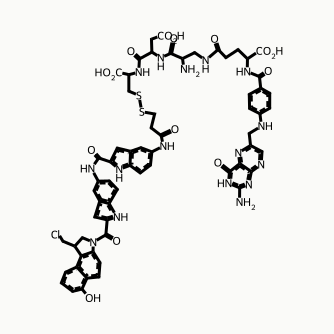 Nc1nc2ncc(CNc3ccc(C(=O)NC(CCC(=O)NCC(N)C(=O)NC(CC(=O)O)C(=O)NC(CSSCCC(=O)Nc4ccc5[nH]c(C(=O)Nc6ccc7[nH]c(C(=O)N8CC(CCl)c9c8ccc8c(O)cccc98)cc7c6)cc5c4)C(=O)O)C(=O)O)cc3)nc2c(=O)[nH]1